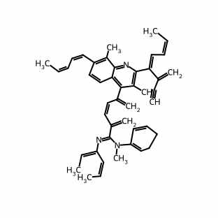 C#CC(=C)/C(=C\C=C/C)c1nc2c(C)c(/C=C\C=C/C)ccc2c(C(=C)/C=C\C(=C)/C(=N/C(/C=C\C)=C/C)N(C)C2=CCCC=C2)c1C